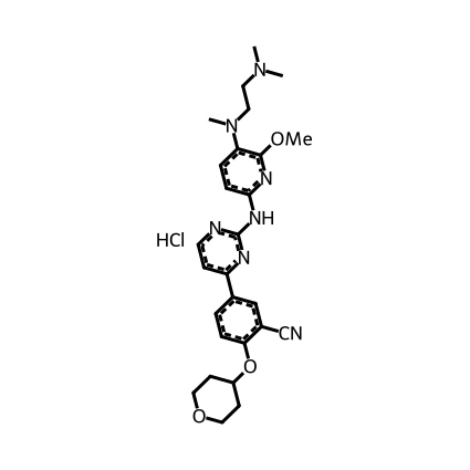 COc1nc(Nc2nccc(-c3ccc(OC4CCOCC4)c(C#N)c3)n2)ccc1N(C)CCN(C)C.Cl